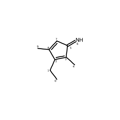 CCC1=C(C)C(=N)C=C1C